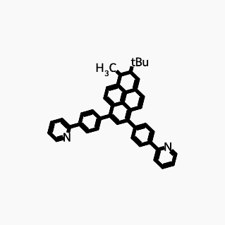 CC1c2ccc3c(-c4ccc(-c5ccccn5)cc4)cc(-c4ccc(-c5ccccn5)cc4)c4ccc(c2c34)=CC1C(C)(C)C